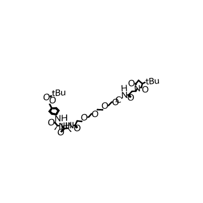 C[C@H](NC(=O)CCOCCOCCOCCOCCNC(=O)CCN1C(=O)CC(C(C)(C)C)C1=O)C(=O)N[C@@H](C)C(=O)Nc1ccc(COC(=O)C(C)(C)C)cc1